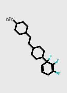 CCCC1CCC(CCC2CCC(C3(F)C=CCC(F)=C3F)CC2)CC1